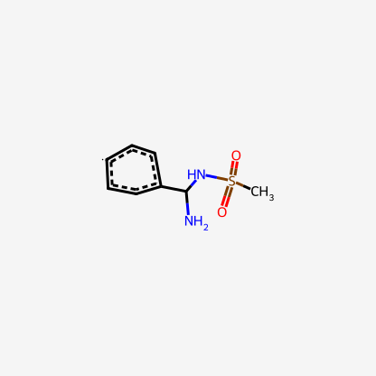 CS(=O)(=O)NC(N)c1cc[c]cc1